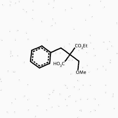 CCOC(=O)C(COC)(Cc1ccccc1)C(=O)O